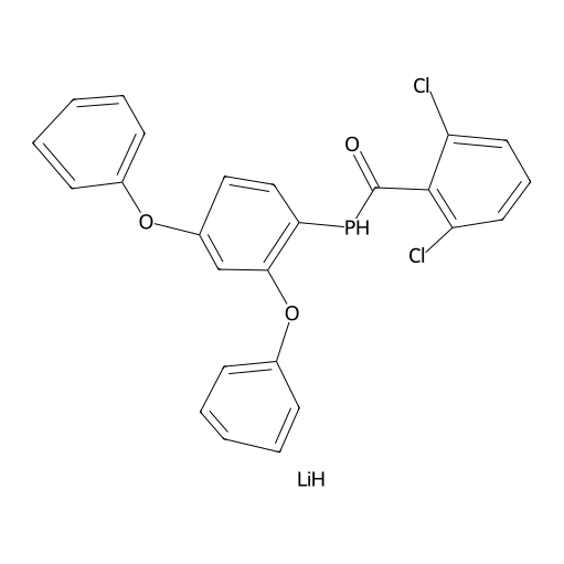 O=C(Pc1ccc(Oc2ccccc2)cc1Oc1ccccc1)c1c(Cl)cccc1Cl.[LiH]